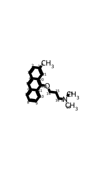 Cc1ccc2cc3ccccc3c(OCCCN(C)C)c2c1